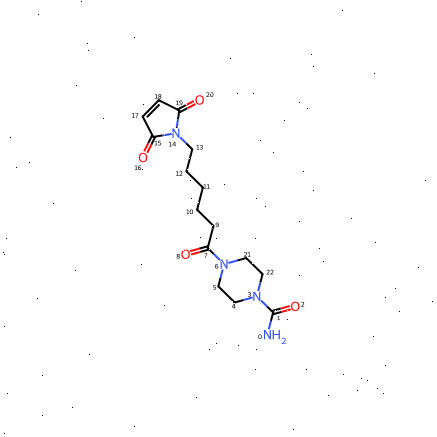 NC(=O)N1CCN(C(=O)CCCCCN2C(=O)C=CC2=O)CC1